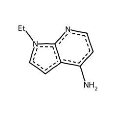 CCn1ccc2c(N)ccnc21